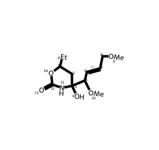 CCC1CC(O)(C(/C=C/COC)OC)NC(=O)O1